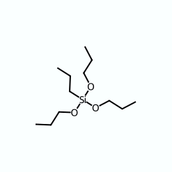 CCCO[Si](CCC)(OCCC)OCCC